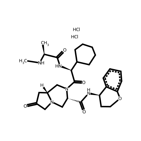 CN[C@@H](C)C(=O)N[C@H](C(=O)N1C[C@H]2CC(=O)CN2C[C@H]1C(=O)N[C@@H]1CCOc2ccccc21)C1CCCCC1.Cl.Cl